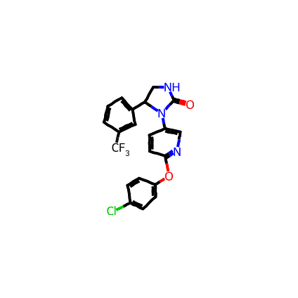 O=C1NCC(c2cccc(C(F)(F)F)c2)N1c1ccc(Oc2ccc(Cl)cc2)nc1